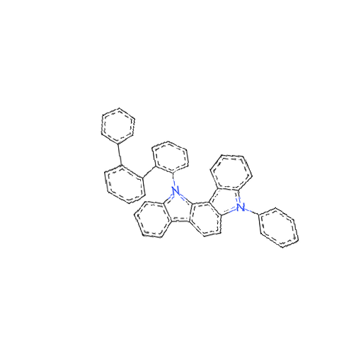 c1ccc(-c2ccccc2-c2ccccc2-n2c3ccccc3c3ccc4c(c5ccccc5n4-c4ccccc4)c32)cc1